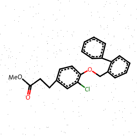 COC(=O)CCc1ccc(OCc2ccccc2-c2ccccc2)c(Cl)c1